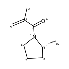 C=C(C)C(=O)N1CCC[C@H]1C